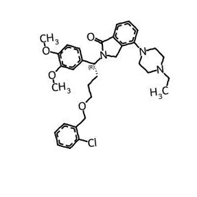 CCN1CCN(c2cccc3c2CN([C@H](CCCOCc2ccccc2Cl)c2ccc(OC)c(OC)c2)C3=O)CC1